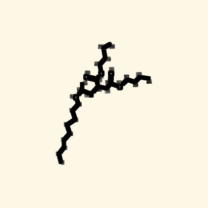 CCCCCCCCCOC(C)SC(CC(=O)OCCCC)C(=O)OCCCC